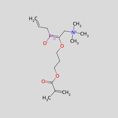 C=CC/[P+]([O-])=C(\C[N+](C)(C)C)OCCCOC(=O)C(=C)C